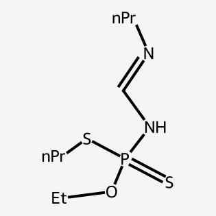 CCC/N=C/NP(=S)(OCC)SCCC